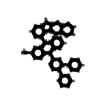 Oc1ccc2c(-c3ccc(-c4ccccc4)c(-c4ccccc4)c3)c3ccccc3c(-c3cccc4oc5cc6ccccc6cc5c34)c2c1